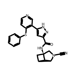 N#CN1C[C@@]2(NC(=O)c3cc(-c4cnccc4Sc4ccccc4)[nH]n3)CC3C1C32